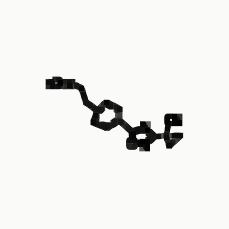 CCCCCCCCCCCCc1ccc(-c2nc(C3(C#N)CC3)no2)cc1